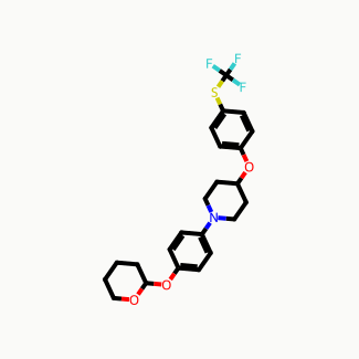 FC(F)(F)Sc1ccc(OC2CCN(c3ccc(OC4CCCCO4)cc3)CC2)cc1